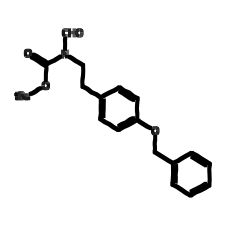 CC(C)(C)OC(=O)N(C=O)CCc1ccc(OCc2ccccc2)cc1